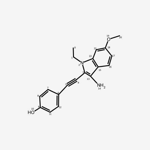 CCn1c(C#Cc2ccc(O)cc2)c(N)c2ccc(OC)cc21